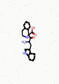 NC(Cc1c[nH]c2ccccc12)C(=O)C1(C(=O)O)NCCc2ccccc21